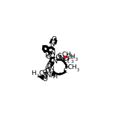 CC[C@@H]1C[C@@H](C)CC/C=C\[C@@H]2C[C@@]2(C(=O)NS(=O)(=O)C2(C)CC2)NC(=O)[C@@H]2C[C@@H](Oc3ncc(N4CCOCC4)c4ccccc34)CN2C(=O)[C@H]1N(C(=O)O)C(C)(C)C(F)(F)F